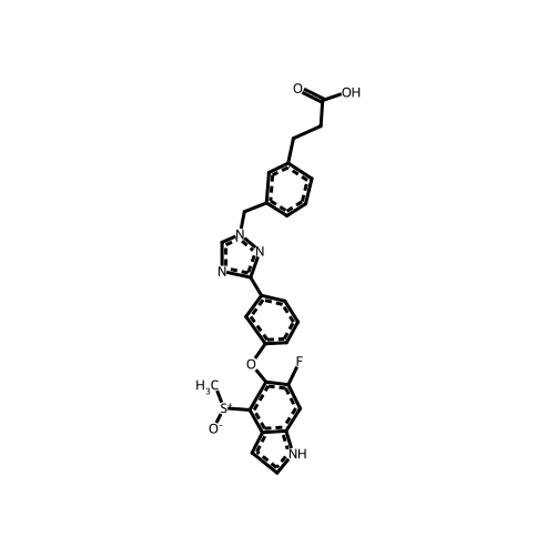 C[S+]([O-])c1c(Oc2cccc(-c3ncn(Cc4cccc(CCC(=O)O)c4)n3)c2)c(F)cc2[nH]ccc12